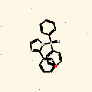 O=P(c1ccccc1)(c1ccccc1)n1ccnc1-c1ccccc1